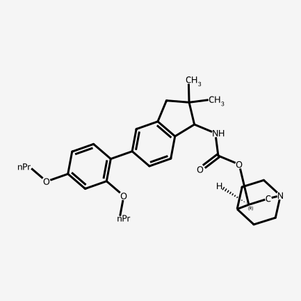 CCCOc1ccc(-c2ccc3c(c2)CC(C)(C)C3NC(=O)O[C@H]2CN3CCC2CC3)c(OCCC)c1